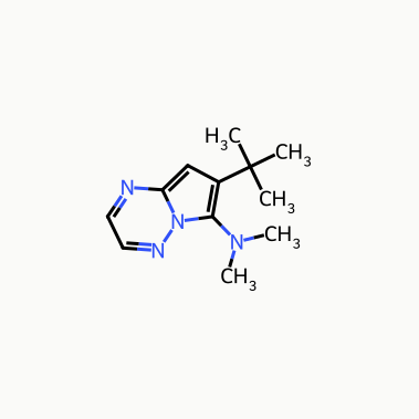 CN(C)c1c(C(C)(C)C)cc2nccnn12